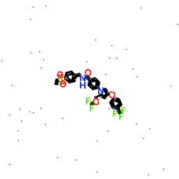 CCS(=O)(=O)c1ccc(CNC(=O)c2ccc(N3C[C@@H](Oc4ccc(C(F)(F)F)cc4)C[C@H]3COC(F)F)cc2)cc1